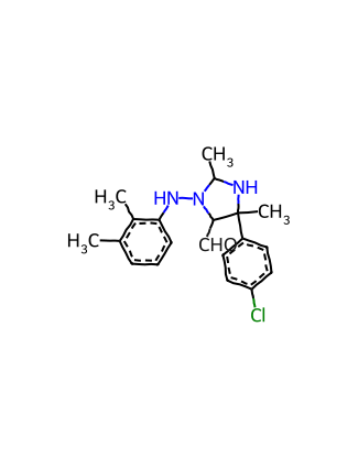 Cc1cccc(NN2C(C)NC(C)(c3ccc(Cl)cc3)C2C=O)c1C